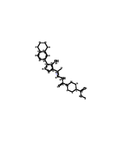 COC(=O)C1CCN(C(=S)N/N=C(\C)c2csc(-c3ccc4c(c3)CCCC4)c2O)CC1